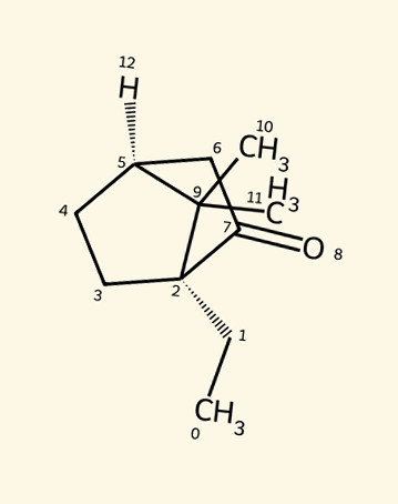 CC[C@@]12CC[C@@H](CC1=O)C2(C)C